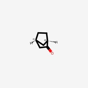 O=C1C[C@H]2CC[C@@H]1C2